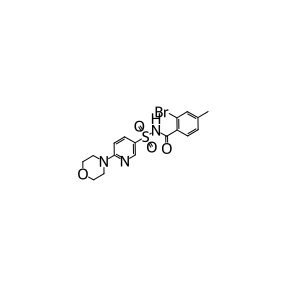 Cc1ccc(C(=O)NS(=O)(=O)c2ccc(N3CCOCC3)nc2)c(Br)c1